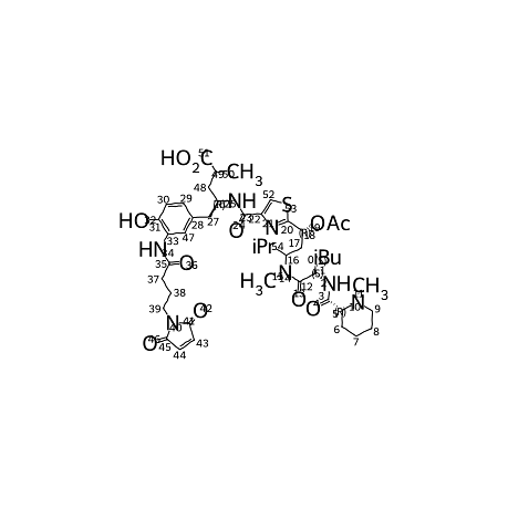 CC[C@H](C)[C@H](NC(=O)[C@H]1CCCCN1C)C(=O)N(C)C(C[C@@H](OC(C)=O)c1nc(C(=O)N[C@@H](Cc2ccc(O)c(NC(=O)CCCN3C(=O)C=CC3=O)c2)CC(C)C(=O)O)cs1)C(C)C